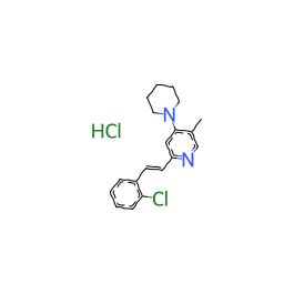 Cc1cnc(C=Cc2ccccc2Cl)cc1N1CCCCC1.Cl